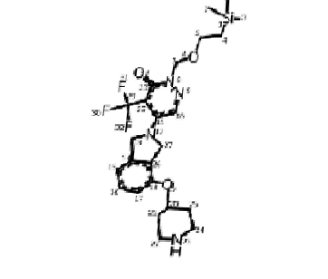 C[Si](C)(C)CCOCn1ncc(N2Cc3cccc(OC4CCNCC4)c3C2)c(C(F)(F)F)c1=O